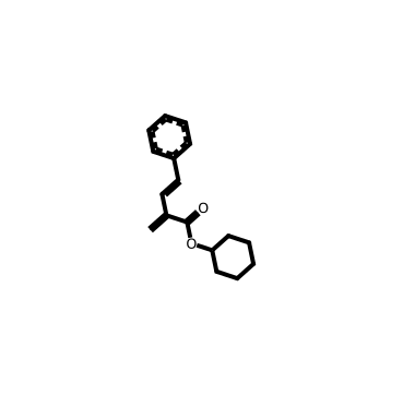 C=C(C=Cc1ccccc1)C(=O)OC1CCCCC1